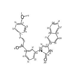 COc1ccc(C=CC(=O)c2cccc(-n3cc(-c4ccc5ccccc5c4)[nH]c3=O)c2)cc1